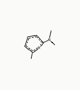 Cc1c[c]cc(N(C)C)n1